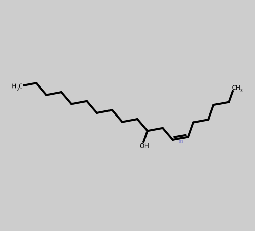 CCCCC/C=C\CC(O)CCCCCCCCCC